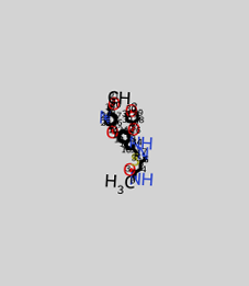 CNC(=O)CC1CN=C(c2cc3cc(Oc4ccc(COC)nc4)cc(OC4CCOCC4)c3[nH]2)S1